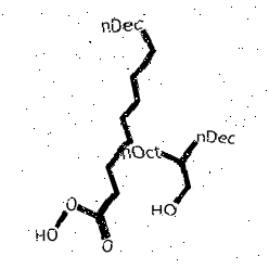 CCCCCCCCCCC(CO)CCCCCCCC.CCCCCCCCCCCCCCCCCC(=O)OO